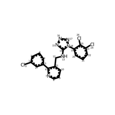 Clc1cccc(-c2ncccc2CNc2nnnn2-c2cccc(Cl)c2Cl)c1